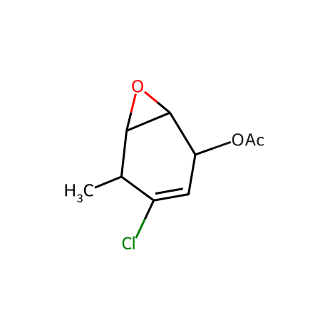 CC(=O)OC1C=C(Cl)C(C)C2OC12